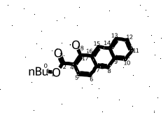 CCCCOC(=O)c1ccc2cc3ccccc3cc2c1[O]